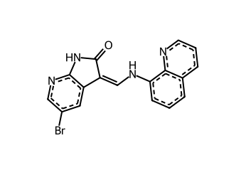 O=C1Nc2ncc(Br)cc2C1=CNc1cccc2cccnc12